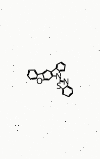 c1ccc2sc(-n3c4ccccc4c4cc5c(cc43)oc3ccccc35)nc2c1